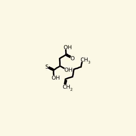 C=CCCCC.O=C(O)CC(O)C(O)=S